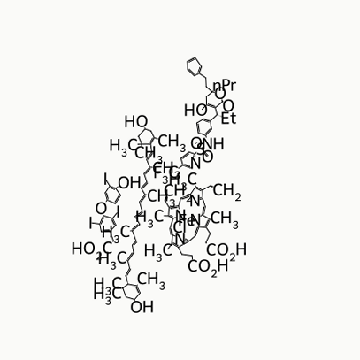 C=CC1=C(C)/C2=C/c3c(C=C)c(C)c4[n]3[Fe]([Cl])[n]3/c(c(C)c(CCC(=O)O)/c3=C/C3=NC(=C\4)/C(C)=C3CCC(=O)O)=C\C1=N2.CC1=C[C@H](O)CC(C)(C)[C@H]1/C=C/C(C)=C/C=C/C(C)=C/C=C/C=C(C)/C=C/C=C(C)/C=C/C1=C(C)C[C@@H](O)CC1(C)C.CCC[C@@]1(CCc2ccccc2)CC(O)=C([C@H](CC)c2cccc(NS(=O)(=O)c3ccc(C(F)(F)F)cn3)c2)C(=O)O1.O=C(O)Cc1cc(I)c(Oc2ccc(O)c(I)c2)c(I)c1